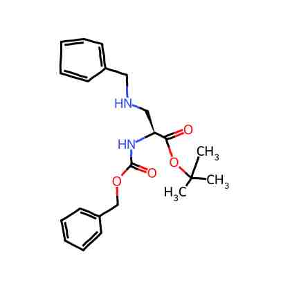 CC(C)(C)OC(=O)[C@H](CNCc1ccccc1)NC(=O)OCc1ccccc1